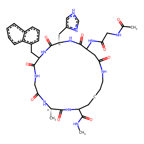 CNC(=O)C1CCCCNC(=O)CC(NC(=O)CNC(C)=O)C(=O)N[C@@H](Cc2c[nH]cn2)C(=O)NC(Cc2cccc3ccccc23)C(=O)NCC(=O)N[C@@H](C)C(=O)N1